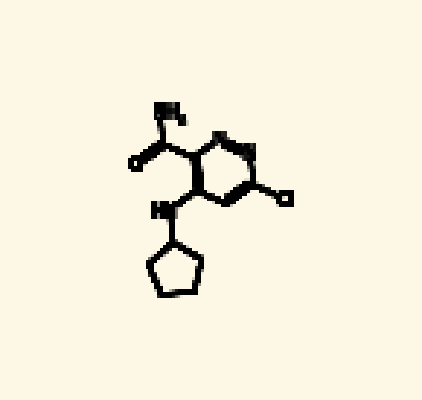 NC(=O)c1nnc(Cl)cc1NC1CCCC1